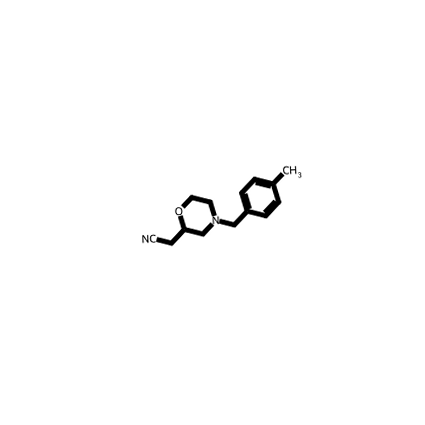 Cc1ccc(CN2CCOC(CC#N)C2)cc1